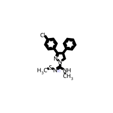 CN/C(=N/SC)N1CC(c2ccccc2)C(c2ccc(Cl)cc2)=N1